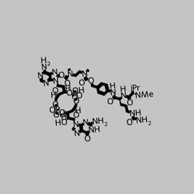 CN[C@H](C(=O)N[C@@H](CCCNC(N)=O)C(=O)Nc1ccc(COC(=O)N(C)CCN(C)C(=O)O[C@@H]2[C@@H]3OP(=O)(O)OC[C@H]4O[C@@H](n5cnc6c(=O)[nH]c(N)nc65)[C@H](O)[C@@H]4OP(=O)(O)OC[C@H]3O[C@H]2n2cnc3c(N)ncnc32)cc1)C(C)C